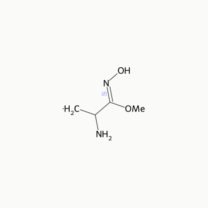 [CH2]C(N)/C(=N/O)OC